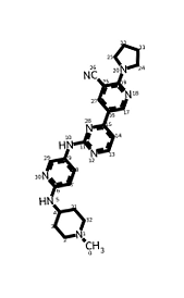 CN1CCC(Nc2ccc(Nc3nccc(-c4cnc(N5CCCC5)c(C#N)c4)n3)cn2)CC1